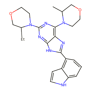 CCC1COCCN1c1nc(N2CCOCC2C)c2nc(-c3cccc4[nH]ccc34)[nH]c2n1